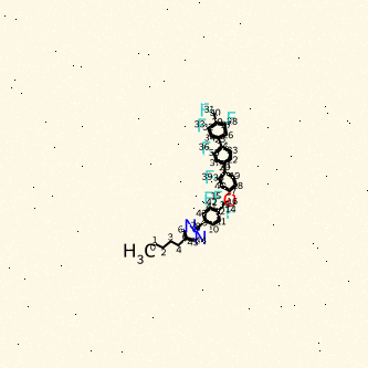 CCCCCc1cnc(-c2ccc(C(F)(F)Oc3ccc(-c4ccc(-c5cc(F)c(CF)c(F)c5)c(F)c4)c(F)c3)c(F)c2)nc1